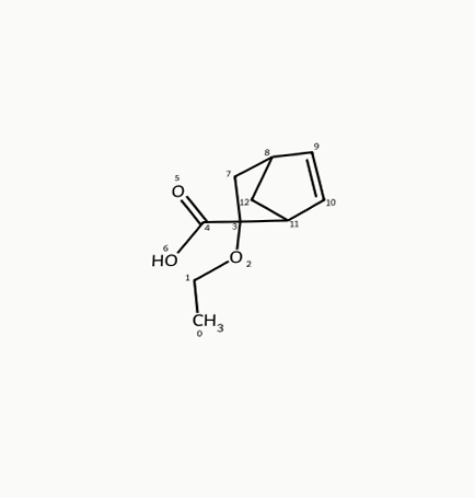 CCOC1(C(=O)O)CC2C=CC1C2